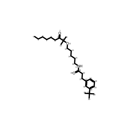 CCCCCCC(=O)C(C)(C)OCCCCCNC(=O)CCc1cccc(C(C)(C)C)c1